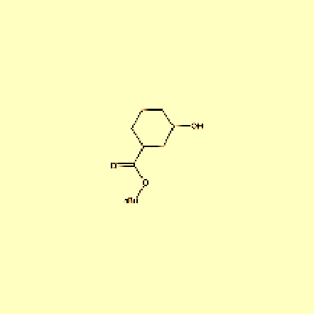 CCCCOC(=O)C1CCCC(O)C1